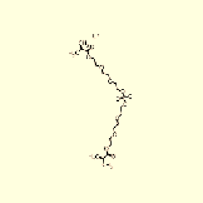 C=C(C)C(=O)OCCOCCOCCOP(=O)([O-])OCCOCCOCCOC(=O)C(=C)C.[Li+]